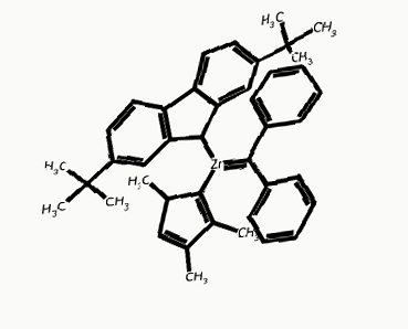 CC1=CC(C)[C]([Zr](=[C](c2ccccc2)c2ccccc2)[CH]2c3cc(C(C)(C)C)ccc3-c3ccc(C(C)(C)C)cc32)=C1C